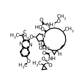 COC[C@@H]1C[C@@H](C)CC/C=C\[C@@H]2C[C@@]2(C(=O)NS(=O)(=O)C2(C)CC2)NC(=O)[C@@H]2C[C@@H](Oc3nc4cc(OC)ccc4nc3C(C)C)CN2C(=O)[C@H]1NC(=O)O